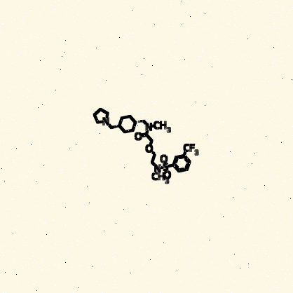 CN(C[C@H]1CC[C@H](CN2CCCC2)CC1)C(=O)COCCN(C)S(=O)(=O)c1cccc(C(F)(F)F)c1